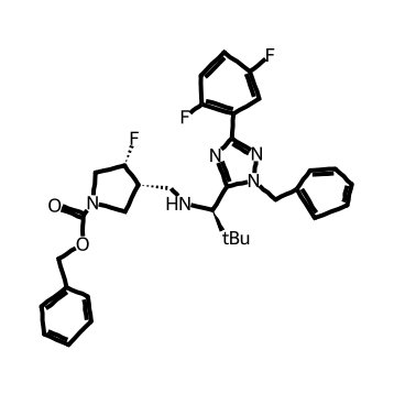 CC(C)(C)[C@@H](NC[C@@H]1CN(C(=O)OCc2ccccc2)C[C@@H]1F)c1nc(-c2cc(F)ccc2F)nn1Cc1ccccc1